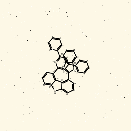 c1ccc(-c2cc(-c3ccccc3)nc(-c3cccc4oc5cccc(-c6nc7ccccc7o6)c5c34)n2)cc1